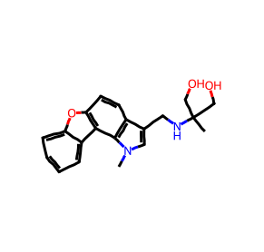 Cn1cc(CNC(C)(CO)CO)c2ccc3oc4ccccc4c3c21